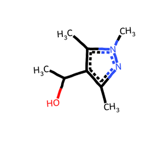 Cc1nn(C)c(C)c1C(C)O